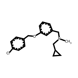 CN(Cc1cccc(OCc2ccc(Cl)cc2)c1)CC1CC1